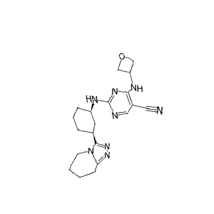 N#Cc1cnc(N[C@@H]2CCC[C@H](c3nnc4n3CCCC4)C2)nc1NC1COC1